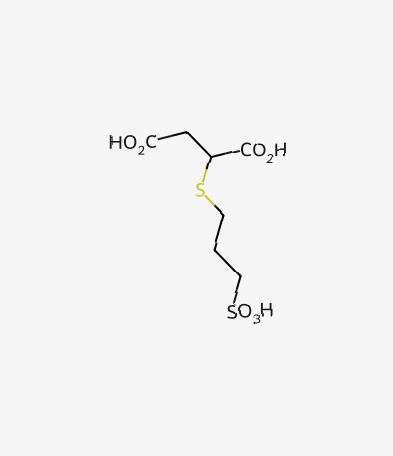 O=C(O)CC(SCCCS(=O)(=O)O)C(=O)O